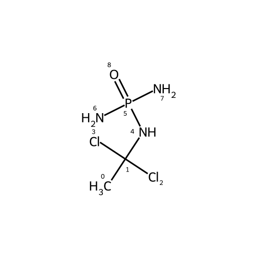 CC(Cl)(Cl)NP(N)(N)=O